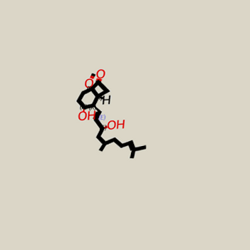 CO[C@]12CC[C@@H](O)[C@H](/C=C/[C@@H](O)CC(C)CCC=C(C)C)[C@H]1CC2=O